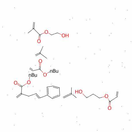 C=C(C)C.C=C(C)C.C=C(C)C(=O)OCCO.C=C(CC=Cc1ccccc1)C(=O)OCCCC.C=CC(=O)OCCCC.C=CC(=O)OCCCO